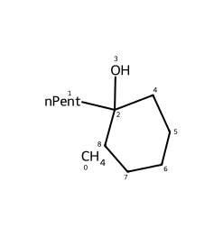 C.CCCCCC1(O)CCCCC1